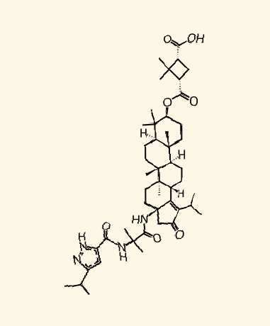 CC(C)C1=C2[C@H]3CC[C@@H]4[C@@]5(C)CC[C@H](OC(=O)[C@H]6C[C@@H](C(=O)O)C6(C)C)C(C)(C)[C@@H]5CC[C@@]4(C)[C@]3(C)CC[C@@]2(NC(=O)C(C)(C)NC(=O)c2cc(C(C)C)n[nH]2)CC1=O